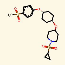 CS(=O)(=O)c1ccc(O[C@H]2CC[C@H](OC3CCN(S(=O)(=O)C4CC4)CC3)CC2)cc1